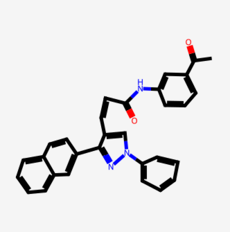 CC(=O)c1cccc(NC(=O)/C=C\c2cn(-c3ccccc3)nc2-c2ccc3ccccc3c2)c1